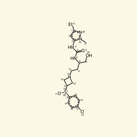 CCc1cc(NC(=O)NC(CO)CCN2CC([S@+]([O-])c3ccc(Cl)cc3)C2)n(C)n1